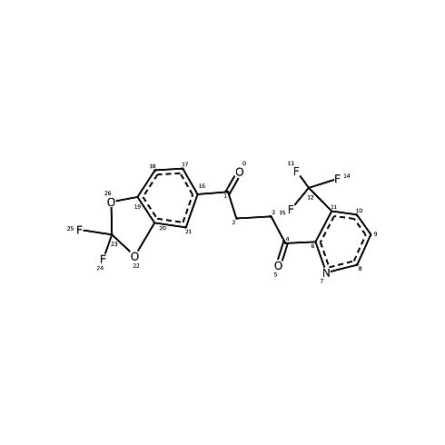 O=C(CCC(=O)c1ncccc1C(F)(F)F)c1ccc2c(c1)OC(F)(F)O2